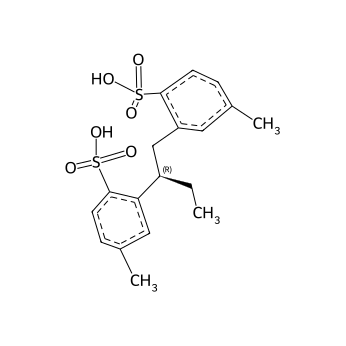 CC[C@H](Cc1cc(C)ccc1S(=O)(=O)O)c1cc(C)ccc1S(=O)(=O)O